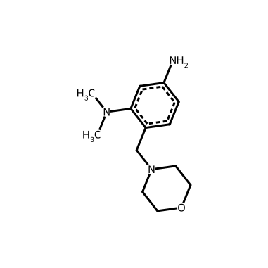 CN(C)c1cc(N)ccc1CN1CCOCC1